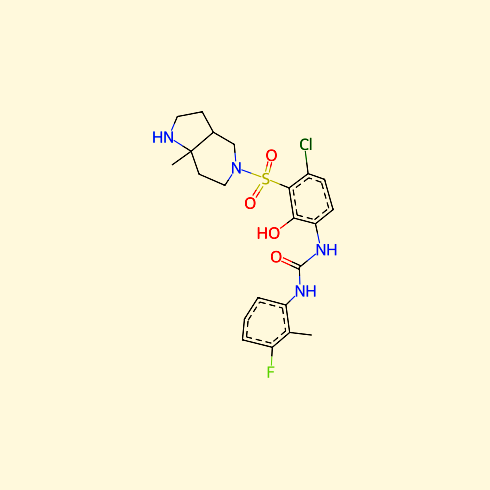 Cc1c(F)cccc1NC(=O)Nc1ccc(Cl)c(S(=O)(=O)N2CCC3(C)NCCC3C2)c1O